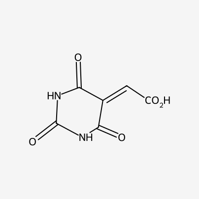 O=C(O)C=C1C(=O)NC(=O)NC1=O